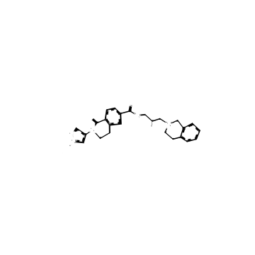 Cn1cc(N2CCc3cc(C(=O)NC[C@H](O)CN4CCc5ccccc5C4)ccc3C2=O)cn1